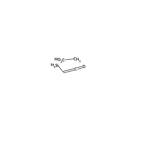 CC(=O)O.O=C=C[SiH3]